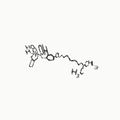 CC(C)CCCCCCCCOc1ccc(CC(O)C(N)(CO)CC2CCC2)cc1